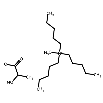 CC(O)C(=O)[O-].CCCCC[N+](C)(CCCCC)CCCCC